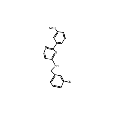 COc1cncc(-c2nccc(NCc3cccc(C#N)c3)n2)c1